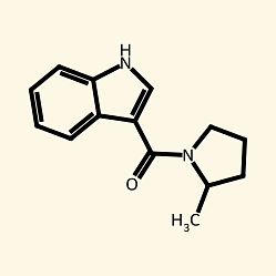 CC1CCCN1C(=O)c1c[nH]c2ccccc12